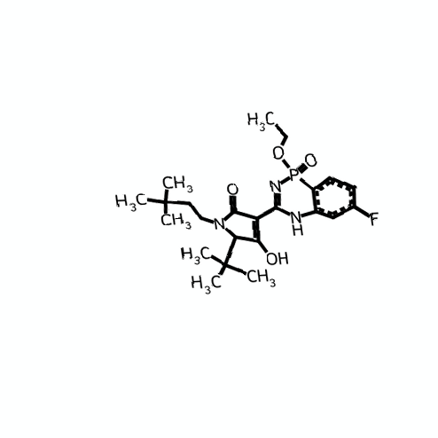 CCOP1(=O)N=C(C2=C(O)C(C(C)(C)C)N(CCC(C)(C)C)C2=O)Nc2cc(F)ccc21